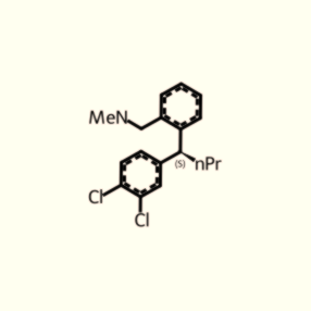 CCC[C@@H](c1ccc(Cl)c(Cl)c1)c1ccccc1CNC